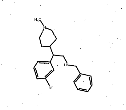 CN1CCC(C(CNCc2ccccc2)c2cccc(Br)c2)CC1